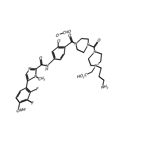 COc1ccc(-c2cnc(C(=O)Nc3ccc(C(=O)N4CCN(C(=O)N5CC[N+](CCCN)(CC(=O)O)CC5)CC4)c(Cl)c3)n2C)c(F)c1F.O=C[O-]